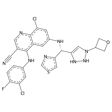 N#Cc1cnc2c(Cl)cc(N[C@H](C3=CN(C4COC4)NN3)c3cscn3)cc2c1Nc1ccc(F)c(Cl)c1